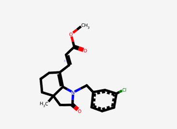 COC(=O)/C=C/C1=C2N(Cc3cccc(Cl)c3)C(=O)CC2(C)CCC1